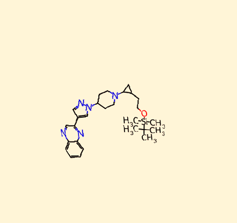 CC(C)(C)[Si](C)(C)OCCC1CC1N1CCC(n2cc(-c3cnc4ccccc4n3)cn2)CC1